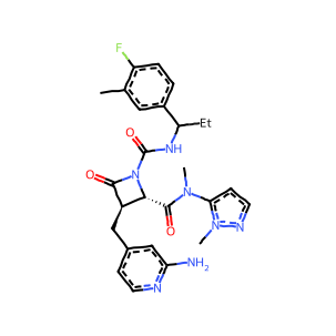 CCC(NC(=O)N1C(=O)[C@H](Cc2ccnc(N)c2)[C@H]1C(=O)N(C)c1ccnn1C)c1ccc(F)c(C)c1